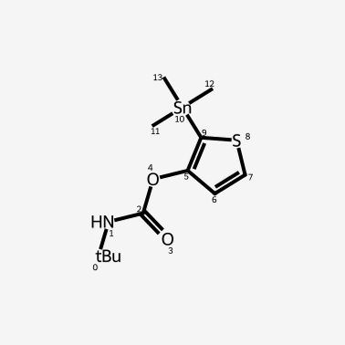 CC(C)(C)NC(=O)Oc1ccs[c]1[Sn]([CH3])([CH3])[CH3]